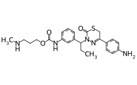 CCC(c1cccc(NC(=O)OCCCNC)c1)N1N=C(c2ccc(N)cc2)CSC1=O